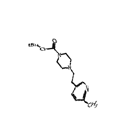 Cc1ccc(CCN2CCN(C(=O)OC(C)(C)C)CC2)cn1